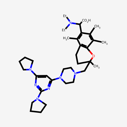 CCN(CC)C(C(=O)O)c1c(C)c(C)c2c(c1C)CCC(C)(CN1CCN(c3cc(N4CCCC4)nc(N4CCCC4)n3)CC1)O2